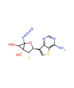 [N-]=[N+]=NC12O[C@@H](c3csc4c(N)ncnc34)[C@H](F)[C@@]1(O)C2O